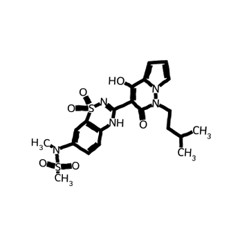 CC(C)CCn1c(=O)c(C2=NS(=O)(=O)c3cc(N(C)S(C)(=O)=O)ccc3N2)c(O)c2cccn21